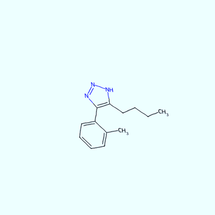 CCCCc1[nH]nnc1-c1ccccc1C